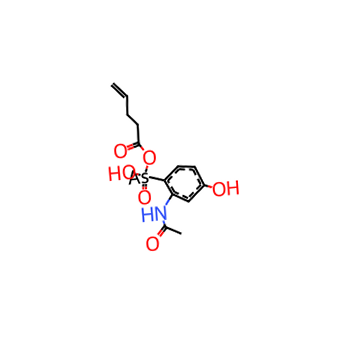 C=CCCC(=O)O[As](=O)(O)c1ccc(O)cc1NC(C)=O